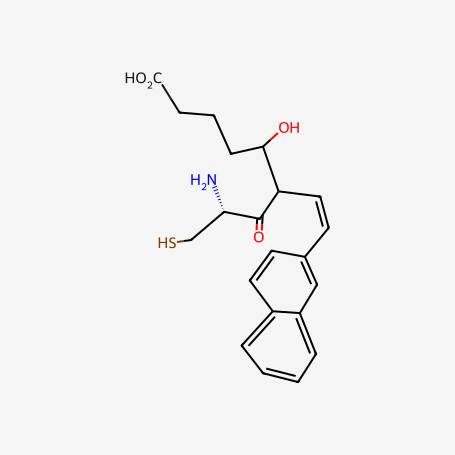 N[C@@H](CS)C(=O)C(/C=C\c1ccc2ccccc2c1)C(O)CCCC(=O)O